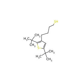 CC(C)(C)c1cc(CCCCS)c(C(C)(C)C)s1